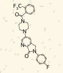 O=C(c1ccccc1C(F)(F)F)N1CCN(c2cnc3c(c2)CN(c2ccc(F)cc2)C3=O)CC1